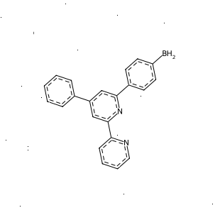 Bc1ccc(-c2cc(-c3ccccc3)cc(-c3ccccn3)n2)cc1